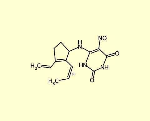 C=CC1=C(/C=C\C)C(Nc2[nH]c(=O)[nH]c(=O)c2N=O)CC1